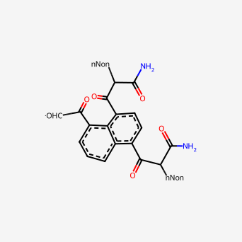 CCCCCCCCCC(C(N)=O)C(=O)c1ccc(C(=O)C(CCCCCCCCC)C(N)=O)c2c(C(=O)[C]=O)cccc12